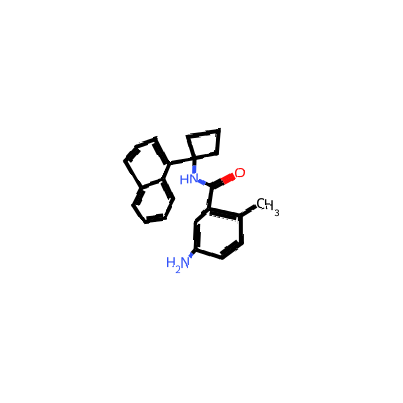 Cc1ccc(N)cc1C(=O)NC1(c2cccc3ccccc23)CCC1